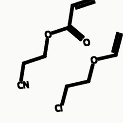 C=CC(=O)OCCC#N.C=COCCCl